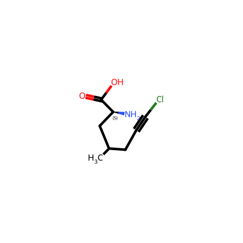 CC(CC#CCl)C[C@H](N)C(=O)O